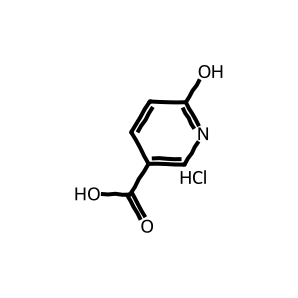 Cl.O=C(O)c1ccc(O)nc1